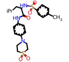 Cc1ccc(S(=O)(=O)NC(CC(C)C)C(=O)Nc2ccc(N3CCS(=O)(=O)CC3)cc2)cc1